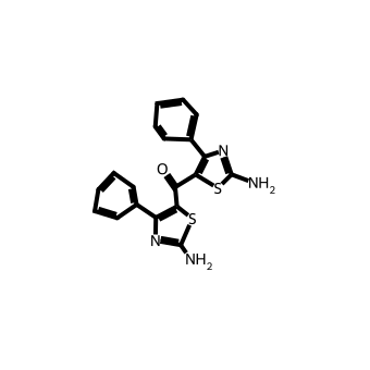 Nc1nc(-c2ccccc2)c(C(=O)c2sc(N)nc2-c2ccccc2)s1